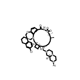 CC(=O)N1CCN2CCN(C[C@@H]3CCC[C@H](C)[C@@H](C)S(=O)(=O)NC(=O)c4ccc5c(c4)N(C[C@@H]4CC[C@@H]34)C[C@@]3(CCCc4cc(Cl)ccc43)CO5)C[C@@H]2C1